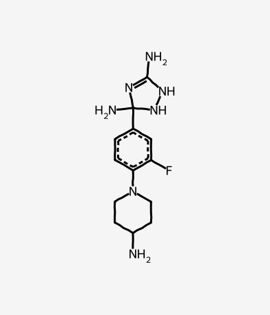 NC1=NC(N)(c2ccc(N3CCC(N)CC3)c(F)c2)NN1